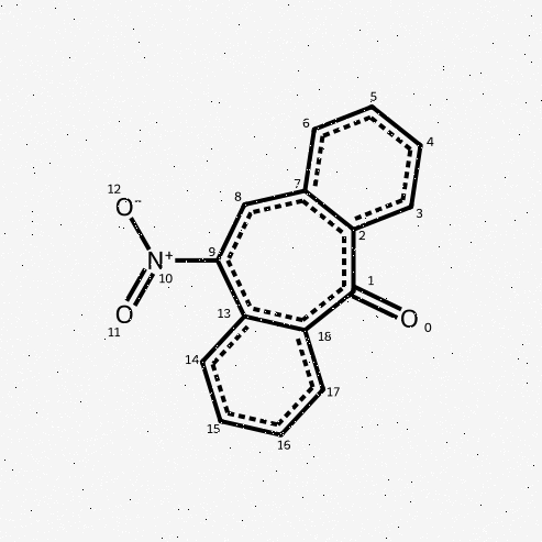 O=c1c2ccccc2cc([N+](=O)[O-])c2ccccc12